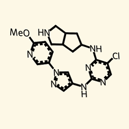 COc1ccc(-n2cc(Nc3ncc(Cl)c(NC4CC5CNCC5C4)n3)cn2)cn1